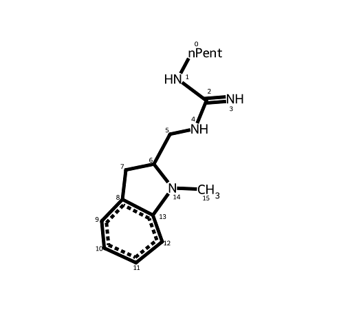 CCCCCNC(=N)NCC1Cc2ccccc2N1C